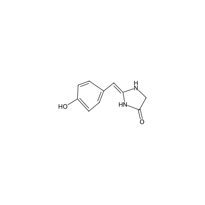 O=C1CNC(=Cc2ccc(O)cc2)N1